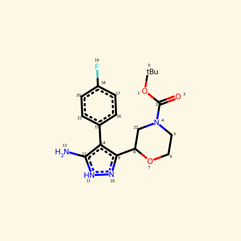 CC(C)(C)OC(=O)N1CCOC(c2n[nH]c(N)c2-c2ccc(F)cc2)C1